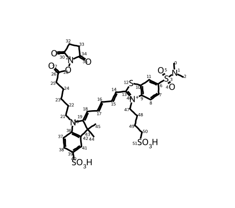 CN(C)S(=O)(=O)c1ccc2c(c1)sc(/C=C/C=C/C=C1/N(CCCCCC(=O)ON3C(=O)CCC3=O)c3ccc(S(=O)(=O)O)cc3C1(C)C)[n+]2CCCCS(=O)(=O)O